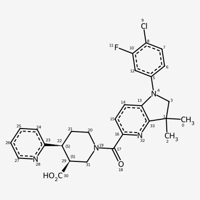 CC1(C)CN(c2ccc(Cl)c(F)c2)c2ccc(C(=O)N3CC[C@H](c4ccccn4)[C@H](C(=O)O)C3)nc21